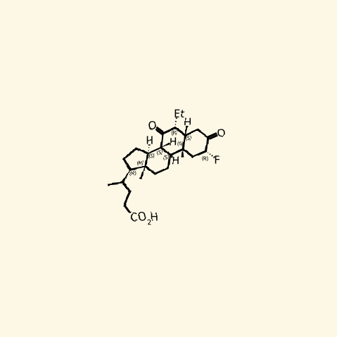 CC[C@H]1C(=O)[C@@H]2[C@H](CC[C@]3(C)[C@@H](C(C)CCC(=O)O)CC[C@@H]23)[C@@]2(C)C[C@@H](F)C(=O)C[C@@H]12